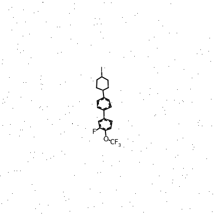 Fc1cc(-c2ccc(C3CCC(I)CC3)cc2)ccc1OC(F)(F)F